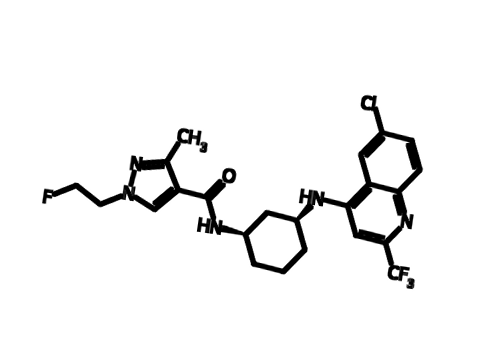 Cc1nn(CCF)cc1C(=O)N[C@@H]1CCC[C@H](Nc2cc(C(F)(F)F)nc3ccc(Cl)cc23)C1